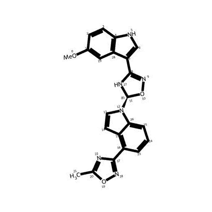 COc1ccc2[nH]cc(C3=NO[C@@H](n4ccc5c(-c6noc(C)n6)cccc54)N3)c2c1